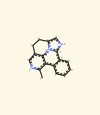 Cc1ncc2c3c1c1ccccc1c1ncc(n13)CC2